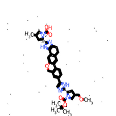 COCC1C[C@@H](c2ncc(-c3ccc4c(c3)COc3cc5c(cc3-4)CCc3nc([C@@H]4CC(C)CN4C(=O)O)[nH]c3-5)[nH]2)N(C(=O)OC(C)(C)C)C1